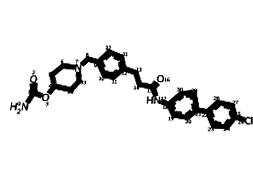 NC(=O)OC1CCN(Cc2ccc(CCC(=O)Nc3ccc(-c4ccc(Cl)cc4)cc3)cc2)CC1